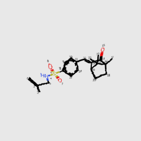 C=C(C)CNS(=O)(=O)c1ccc(C=C2C(=O)C3(C)CCC2C3(C)C)cc1